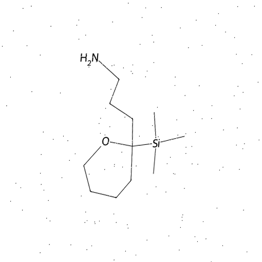 C[Si](C)(C)C1(CCCN)CCCCO1